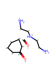 C=O.NCCNCCN.O=C1CCCCC1